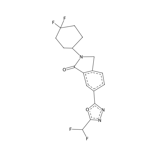 O=C1c2cc(-c3nnc(C(F)F)o3)ccc2CN1C1CCC(F)(F)CC1